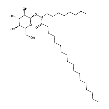 CCCCCCCCCCCCCCCCCC(=O)N(CCCCCCCC)O[C@H]1O[C@H](CO)[C@@H](O)[C@H](O)[C@H]1O